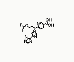 Cn1ncnc1-c1cn(C(CCOC(F)F)c2ccc(B(O)O)cn2)cn1